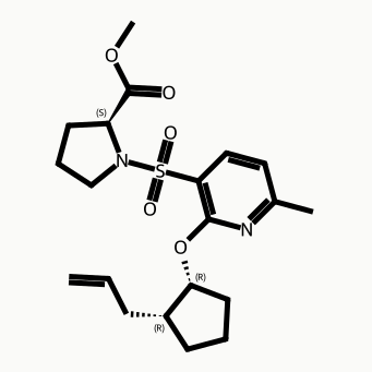 C=CC[C@H]1CCC[C@H]1Oc1nc(C)ccc1S(=O)(=O)N1CCC[C@H]1C(=O)OC